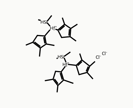 CC1=C(C)C(C)=[C]([Hf+]([C]2=C(C)C(C)=C(C)C2)[SiH](C)C)C1.CC1=C(C)C(C)=[C]([Hf+]([C]2=C(C)C(C)=C(C)C2)[SiH](C)C)C1.[Cl-].[Cl-]